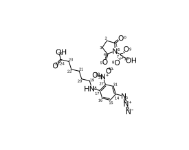 O=C1CCC(=O)N1S(=O)(=O)O.[N-]=[N+]=Nc1ccc(NCCCCCC(=O)O)c([N+](=O)[O-])c1